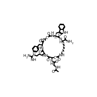 CC(=O)NCC(=O)NC1CC(=O)NCCCCC(C(N)=O)NC(=O)[C@H](Cc2c[nH]c3ccccc23)NC(=O)CNC(=O)C(Cc2ccccc2)NC(=O)C(CCCNC(=N)N)NC1=O